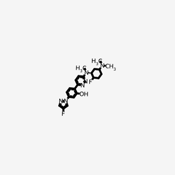 CN(C)C1CCC(F)[C@@H](N(C)c2ccc(-c3ccc(-n4cc(F)cn4)cc3O)nn2)C1